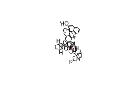 CCc1cc2c(N3C[C@H]4CC[C@@H](C3)N4C(=O)OC(C)(C)C)nc(OC[C@@]34CCCN3C[C@H](F)C4)nc2c(F)c1-c1cc(O)cc2ccccc12